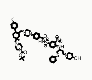 CC1(CN2CCN(C(=O)OC(C)(C)C)CC2)CCC(c2ccc(Cl)cc2)=C(CN2CCN(c3ccc(C(=O)NS(=O)(=O)c4ccc(NC(CCN5CCC(O)CC5)CSc5ccccc5)c([N+](=O)[O-])c4)cc3)CC2)C1